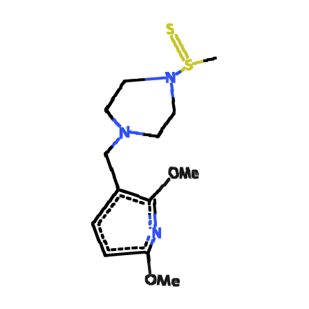 COc1ccc(CN2CCN(S(C)=S)CC2)c(OC)n1